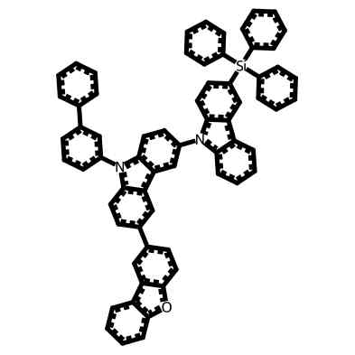 c1ccc(-c2cccc(-n3c4ccc(-c5ccc6oc7ccccc7c6c5)cc4c4cc(-n5c6ccccc6c6cc([Si](c7ccccc7)(c7ccccc7)c7ccccc7)ccc65)ccc43)c2)cc1